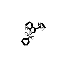 O=S(=O)(c1ccccc1)n1cc(-c2nccs2)c2cccnc21